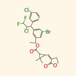 CC(OC(=O)C1C(C=C2CCOC2=O)C1(C)C)c1cc(Br)cc(C(c2cccc(Cl)c2)C(Cl)C(F)F)c1